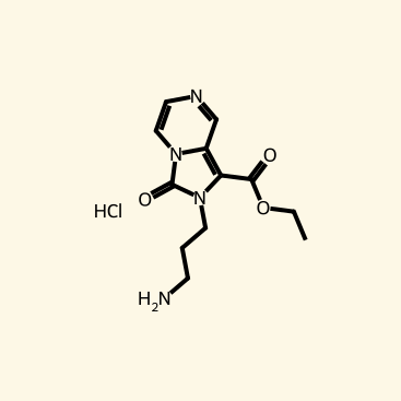 CCOC(=O)c1c2cnccn2c(=O)n1CCCN.Cl